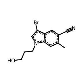 Cc1cc2c(cc1C#N)c(Br)cn2CCCO